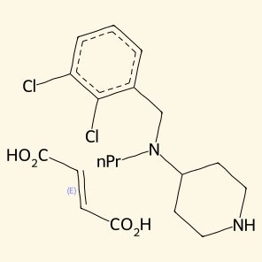 CCCN(Cc1cccc(Cl)c1Cl)C1CCNCC1.O=C(O)/C=C/C(=O)O